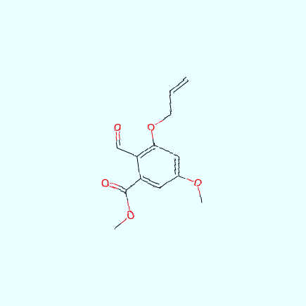 C=CCOc1cc(OC)cc(C(=O)OC)c1C=O